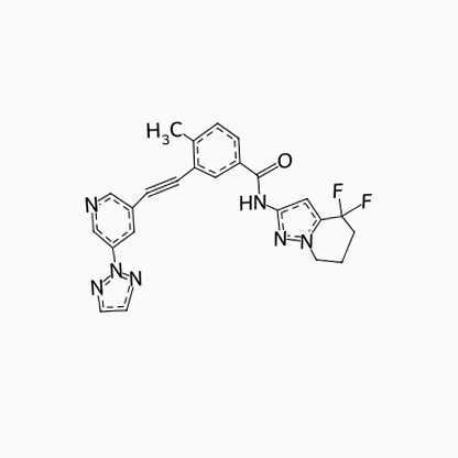 Cc1ccc(C(=O)Nc2cc3n(n2)CCCC3(F)F)cc1C#Cc1cncc(-n2nccn2)c1